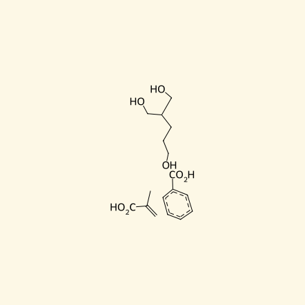 C=C(C)C(=O)O.O=C(O)c1ccccc1.OCCCC(CO)CO